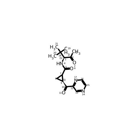 CC(=O)[C@@H](NC(=O)C1C[C@@H]1C(=O)c1cnccn1)C(C)(C)C